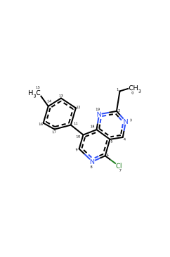 CCc1ncc2c(Cl)ncc(-c3ccc(C)cc3)c2n1